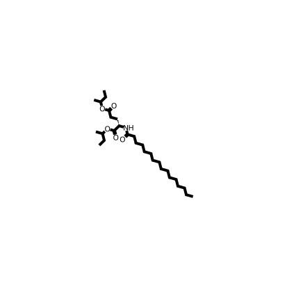 CCCCCCCCCCCCCCCC(=O)N[C@@H](CCC(=O)OC(C)CC)C(=O)OC(C)CC